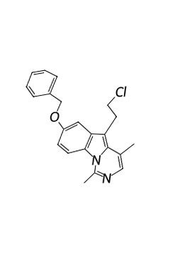 Cc1cnc(C)n2c1c(CCCl)c1cc(OCc3ccccc3)ccc12